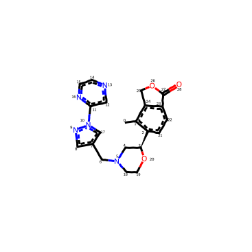 Cc1c([C@@H]2CN(Cc3cnn(-c4cnccn4)c3)CCO2)ccc2c1COC2=O